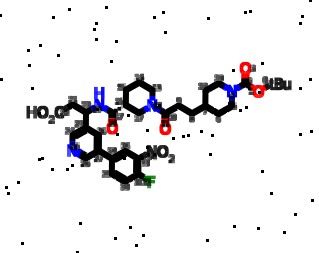 CC(C)(C)OC(=O)N1CCC(CCC(=O)N2CCC[C@@H](C(=O)NC(CC(=O)O)c3cncc(-c4ccc(F)c([N+](=O)[O-])c4)c3)C2)CC1